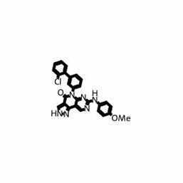 COc1ccc(Nc2ncc3c4n[nH]cc4c(=O)n(-c4cccc(-c5ccccc5Cl)c4)c3n2)cc1